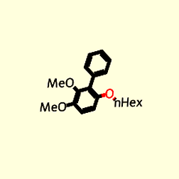 CCCCCCOc1ccc(OC)c(OC)c1-c1ccccc1